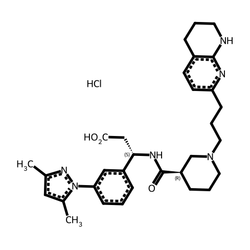 Cc1cc(C)n(-c2cccc([C@H](CC(=O)O)NC(=O)[C@@H]3CCCN(CCCc4ccc5c(n4)NCCC5)C3)c2)n1.Cl